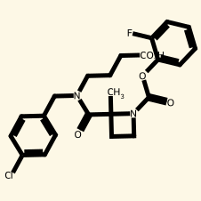 CC1(C(=O)N(CCCC(=O)O)Cc2ccc(Cl)cc2)CCN1C(=O)Oc1ccccc1F